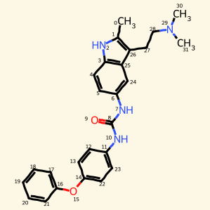 Cc1[nH]c2ccc(NC(=O)Nc3ccc(Oc4ccccc4)cc3)cc2c1CCN(C)C